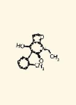 CCn1c(=O)c(-c2ccccc2C)c(O)c2ccoc21